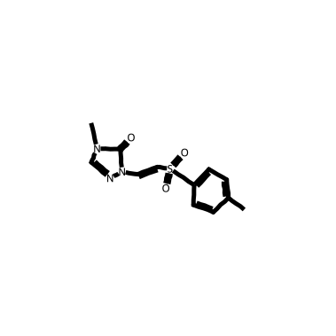 Cc1ccc(S(=O)(=O)/C=C/n2ncn(C)c2=O)cc1